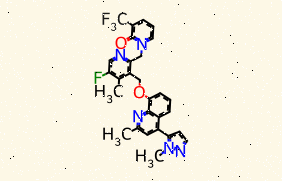 Cc1cc(-c2ccnn2C)c2cccc(OCc3c(Cn4cccc(C(F)(F)F)c4=O)ncc(F)c3C)c2n1